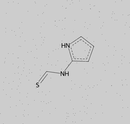 S=CNc1ccc[nH]1